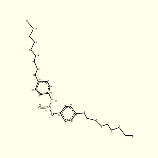 CCCCCCCCCc1ccc(O[PH](=O)Oc2ccc(CCCCCCCCC)cc2)cc1